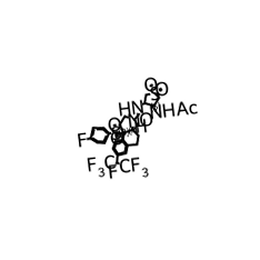 CC(=O)N[C@@H]1CS(=O)(=O)CC1NC(=O)N1CC[C@@]2(S(=O)(=O)c3ccc(F)cc3)c3ccc(C(F)(C(F)(F)F)C(F)(F)F)cc3CC[C@@H]12